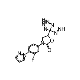 N=NC(N=N)(N=N)C1CN(c2ccc(-n3cccn3)c(F)c2)C(=O)O1